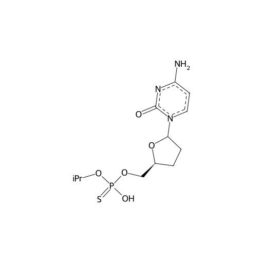 CC(C)OP(O)(=S)OC[C@@H]1CCC(n2ccc(N)nc2=O)O1